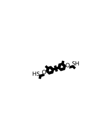 Cc1cc(C(C)(C)c2ccc(OCC(C)S)c(C)c2)ccc1OCC(C)S